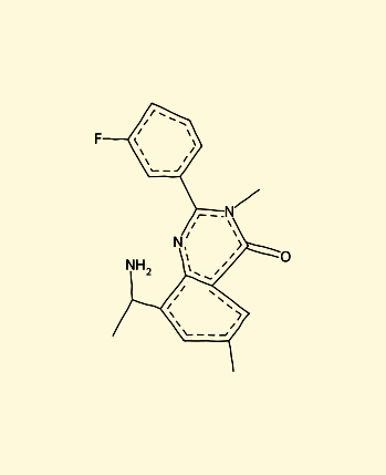 Cc1cc(C(C)N)c2nc(-c3cccc(F)c3)n(C)c(=O)c2c1